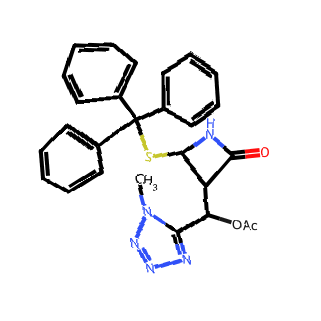 CC(=O)OC(c1nnnn1C)C1C(=O)NC1SC(c1ccccc1)(c1ccccc1)c1ccccc1